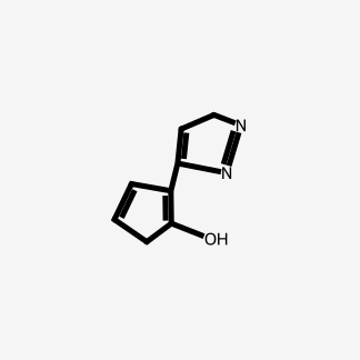 OC1=C(C2=CCN=N2)C=CC1